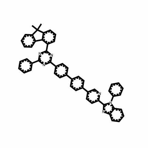 CC1(C)c2ccccc2-c2c(-c3nc(-c4ccccc4)nc(-c4ccc(-c5ccc(-c6ccc(-c7nc8ccccc8n7-c7ccccc7)nc6)cc5)cc4)n3)cccc21